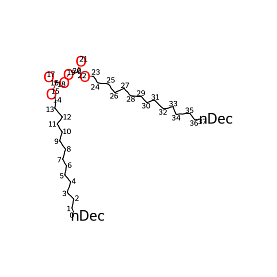 CCCCCCCCCCCCCCCCCCCCCCCCOC(=O)OOC(=O)OCCCCCCCCCCCCCCCCCCCCCCCC